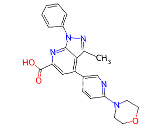 Cc1nn(-c2ccccc2)c2nc(C(=O)O)cc(-c3ccc(N4CCOCC4)nc3)c12